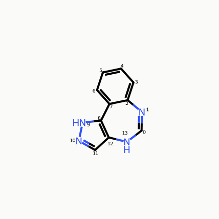 C1=Nc2ccccc2-c2[nH]ncc2N1